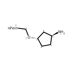 CCCCCCO[C@H]1CC[C@H](N)C1